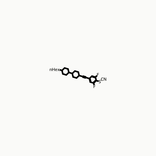 CCCCCCC1CCC(C2CCC(C#Cc3cc(F)c(SC#N)c(F)c3)CC2)CC1